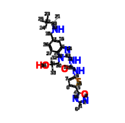 Cc1noc(-c2ccc(NC(=O)Nc3nc4cc(CN[C@@H](C)C(C)(C)C)ccc4n3CC(C)(C)O)s2)n1